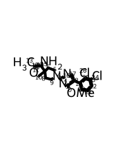 COc1nc(N2CCC3(CC2)CO[C@@H](C)[C@H]3N)ncc1-c1cccc(Cl)c1Cl